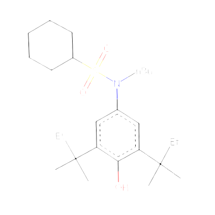 CCCCN(c1cc(C(C)(C)CC)c(O)c(C(C)(C)CC)c1)S(=O)(=O)C1CCCCC1